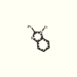 CCn1c(C(C)C)nc2ccccc21